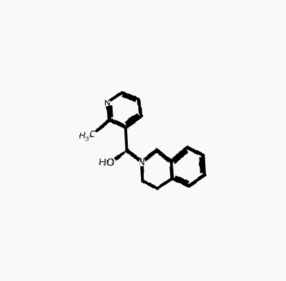 Cc1ncccc1[C@H](O)N1CCc2ccccc2C1